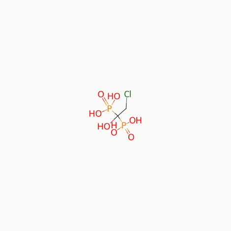 O=P(O)(O)C(O)(CCl)P(=O)(O)O